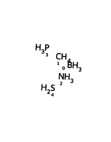 B.C.N.P.S